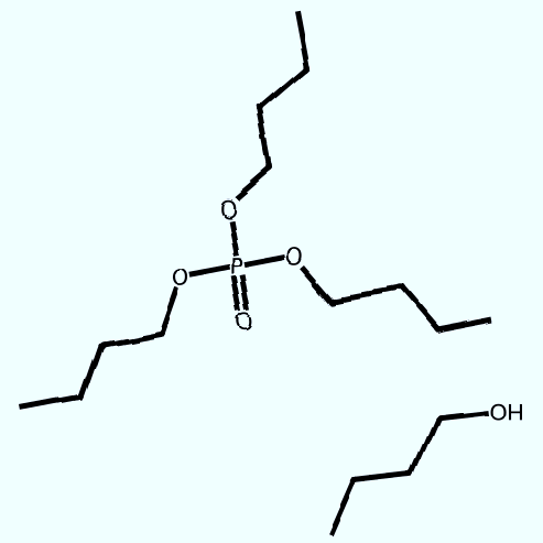 CCCCO.CCCCOP(=O)(OCCCC)OCCCC